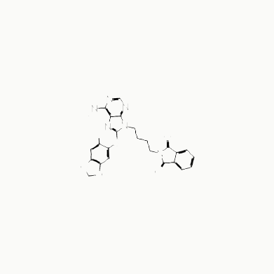 Nc1ncnc2c1nc(Sc1cc3c(cc1I)OCO3)n2CCCCN1C(=O)c2ccccc2C1=O